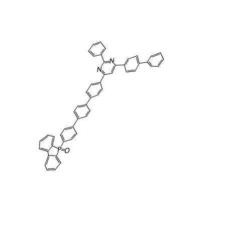 O=P1(c2ccc(-c3ccc(-c4ccc(-c5cc(-c6ccc(-c7ccccc7)cc6)nc(-c6ccccc6)n5)cc4)cc3)cc2)c2ccccc2-c2ccccc21